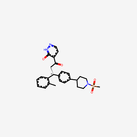 Cc1ccccc1[C@H](CC(=O)c1ccn[nH]c1=O)c1ccc(C2CCN(S(C)(=O)=O)CC2)cc1